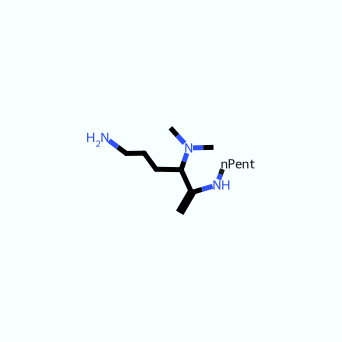 C=C(NCCCCC)C(CCCN)N(C)C